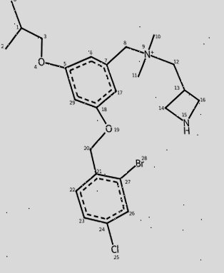 CC(C)COc1cc(C[N+](C)(C)CC2CNC2)cc(OCc2ccc(Cl)cc2Br)c1